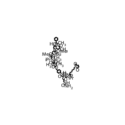 CC[C@H](C)[C@@H]([C@@H](CC(=O)N1CCC[C@H]1[C@H](OC)[C@@H](C)C(=O)N[C@H](C)[C@@H](O)c1ccccc1)OC)N(C)C(=O)[C@@H](NC(=O)C(C)(C)N(C)C(=O)OCc1ccc(NC(=O)[C@H](CCCNC(N)=O)NC(=O)[C@@H](NC(=O)CCCCCN2C(=O)C=CC2=O)C(C)C)cc1)C(C)C